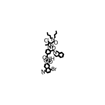 CCCCN(CCCC)C(=O)c1nn(-c2ccc(C(=O)NS(=O)(=O)c3ccc4c(N(C)C)ccc(Br)c4c3)cc2C(=O)N2CCc3ccccc3C2)c(C)c1Cl